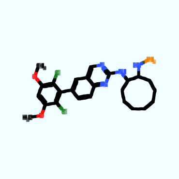 COc1cc(OC)c(Cl)c(-c2ccc3nc(NC4CCCCCCCC4NP)ncc3c2)c1Cl